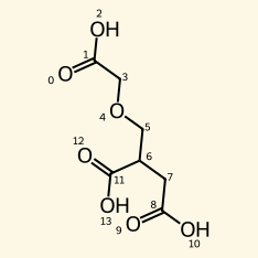 O=C(O)COCC(CC(=O)O)C(=O)O